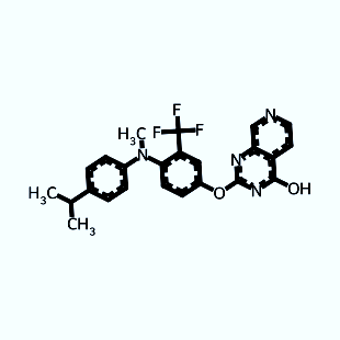 CC(C)c1ccc(N(C)c2ccc(Oc3nc(O)c4ccncc4n3)cc2C(F)(F)F)cc1